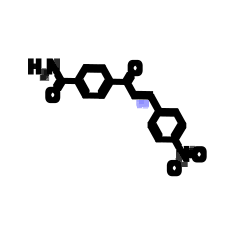 NC(=O)c1ccc(C(=O)/C=C/c2ccc([N+](=O)[O-])cc2)cc1